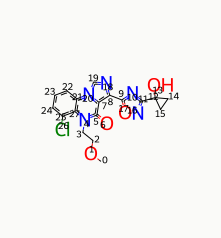 COCCn1c(=O)c2c(-c3nc(C4(O)CC4)no3)ncn2c2cccc(Cl)c21